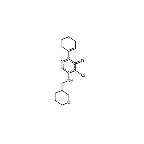 O=c1c(Cl)c(NCC2CCCOC2)cnn1C1=CCCCC1